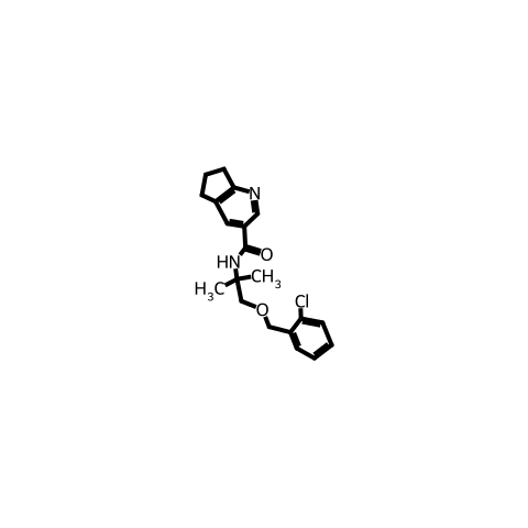 CC(C)(COCc1ccccc1Cl)NC(=O)c1cnc2c(c1)CCC2